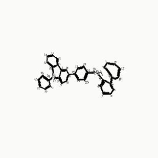 c1ccc(-c2ccccc2Nc2ccc(-c3ccc4c(c3)c3ccccc3n4-c3ccccc3)cc2)cc1